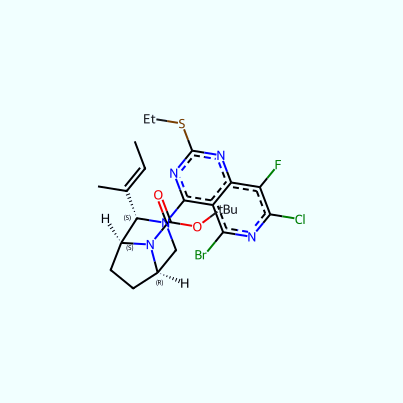 CC=C(C)[C@H]1[C@@H]2CC[C@H](CN1c1nc(SCC)nc3c(F)c(Cl)nc(Br)c13)N2C(=O)OC(C)(C)C